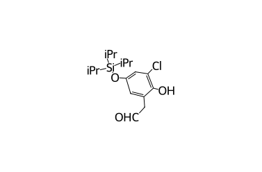 CC(C)[Si](Oc1cc(Cl)c(O)c(CC=O)c1)(C(C)C)C(C)C